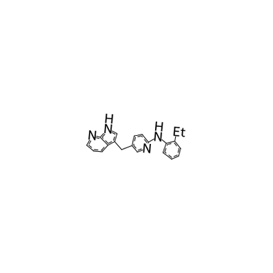 CCc1ccccc1Nc1ccc(Cc2c[nH]c3ncccc23)cn1